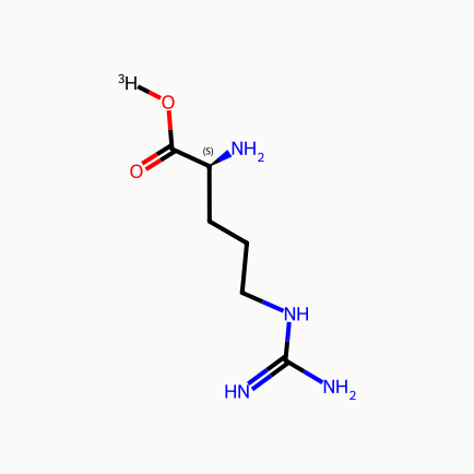 [3H]OC(=O)[C@@H](N)CCCNC(=N)N